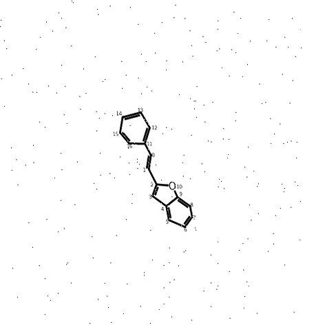 C(=Cc1cc2ccccc2o1)c1ccccc1